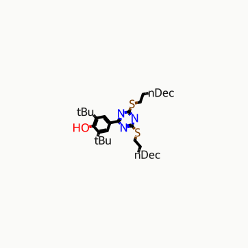 CCCCCCCCCCCCSc1nc(SCCCCCCCCCCCC)nc(-c2cc(C(C)(C)C)c(O)c(C(C)(C)C)c2)n1